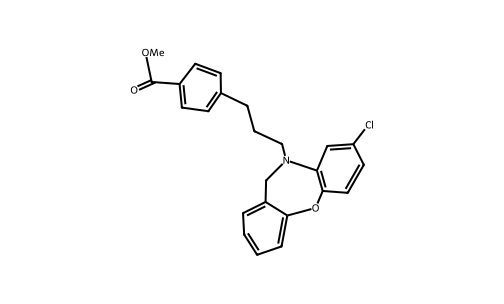 COC(=O)c1ccc(CCCN2Cc3ccccc3Oc3ccc(Cl)cc32)cc1